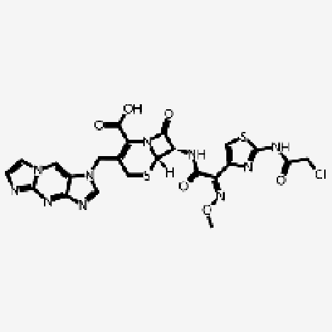 CO/N=C(\C(=O)N[C@@H]1C(=O)N2C(C(=O)O)=C(Cn3cnc4nc5nccn5cc43)CS[C@@H]12)c1csc(NC(=O)CCl)n1